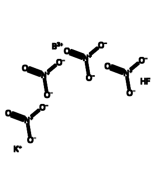 F.O=[N+]([O-])[O-].O=[N+]([O-])[O-].O=[N+]([O-])[O-].O=[N+]([O-])[O-].[B+3].[K+]